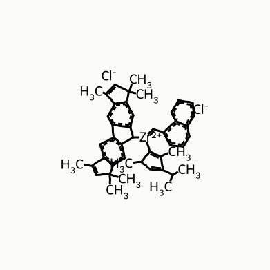 CC1=CC(C)(C)c2cc3c(cc21)-c1cc2c(cc1[CH]3/[Zr+2](=[CH]/c1cccc3ccccc13)[C]1=C(C)C(C(C)C)=CC1C)C(C)(C)C=C2C.[Cl-].[Cl-]